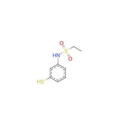 CCS(=O)(=O)Nc1cccc(S)c1